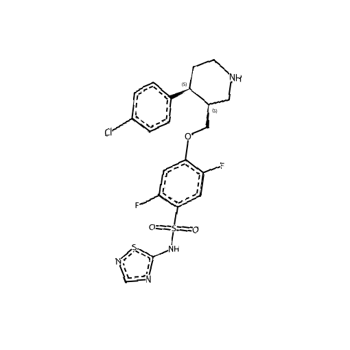 O=S(=O)(Nc1ncns1)c1cc(F)c(OC[C@@H]2CNCC[C@@H]2c2ccc(Cl)cc2)cc1F